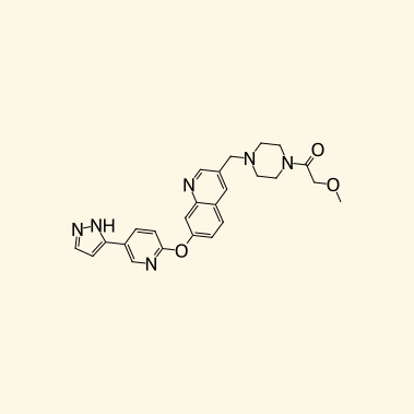 COCC(=O)N1CCN(Cc2cnc3cc(Oc4ccc(-c5ccn[nH]5)cn4)ccc3c2)CC1